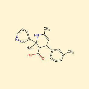 CC1=CC(c2cccc(C)c2)C(C(=O)O)C(C)(c2cccnc2)N1